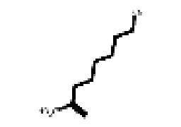 C=C(CCCCCCC#N)C(=O)O